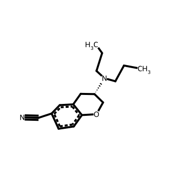 CCCN(CCC)[C@@H]1COc2ccc(C#N)cc2C1